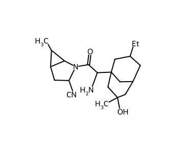 CCC1CC2CC(C)(O)CC(C(N)C(=O)N3C(C#N)CC4C(C)C43)(C1)C2